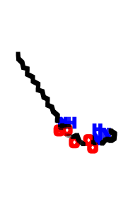 CCCCCCCCCCCCCCCCCCNC(=O)OC[C@@H]1C[C@@H](COC(=O)NCc2ccccn2)O1